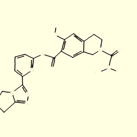 COc1cc2c(cc1C(=O)Nc1cccc(-c3nnc4n3CCC4)n1)CN(C(=O)N(C)C)CC2